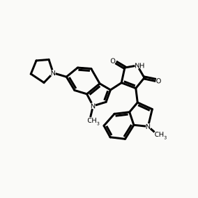 Cn1cc(C2=C(c3cn(C)c4cc(N5CCCC5)ccc34)C(=O)NC2=O)c2ccccc21